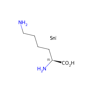 NCCCC[C@H](N)C(=O)O.[Sn]